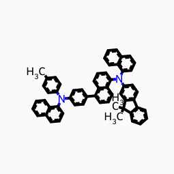 Cc1ccc(N(c2ccc(-c3cccc4c(N(c5ccc6c(c5)C(C)(C)c5ccccc5-6)c5cccc6ccccc56)cccc34)cc2)c2cccc3ccccc23)cc1